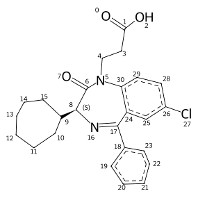 O=C(O)CCN1C(=O)[C@H](C2CCCCCC2)N=C(c2ccccc2)c2cc(Cl)ccc21